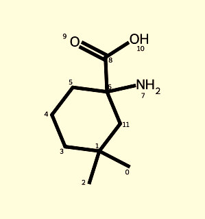 CC1(C)CCCC(N)(C(=O)O)C1